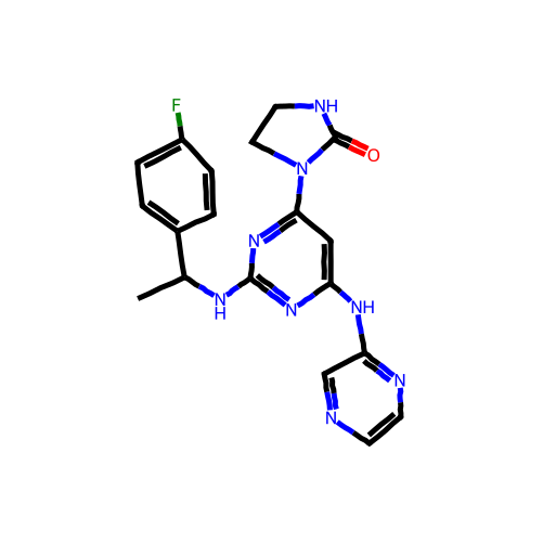 CC(Nc1nc(Nc2cnccn2)cc(N2CCNC2=O)n1)c1ccc(F)cc1